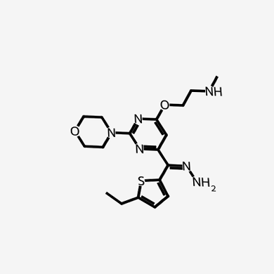 CCc1ccc(C(=NN)c2cc(OCCNC)nc(N3CCOCC3)n2)s1